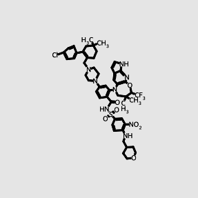 CC1(C)CCC(CN2CCN(c3ccc(C(=O)NS(=O)(=O)c4ccc(NCC5CCOCC5)c([N+](=O)[O-])c4)c(N4CC(C)(C)C(C(F)(F)F)Oc5nc6[nH]ccc6cc54)c3)CC2)=C(c2ccc(Cl)cc2)C1